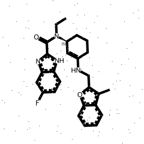 CCN(C(=O)c1nc2cc(F)ccc2[nH]1)[C@@H]1C=C(NCc2oc3ccccc3c2C)CCC1